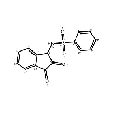 O=C1C(=O)C(NS(=O)(=O)c2ccccc2)c2ccccc21